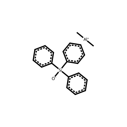 [CH3][Al+][CH3].[O-][Si](c1ccccc1)(c1ccccc1)c1ccccc1